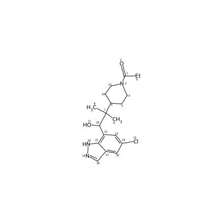 CCC(=O)N1CCC(C(C)(C)C(O)c2cc(Cl)cc3cn[nH]c23)CC1